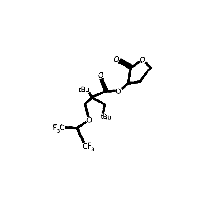 CC(C)(C)CC(COC(C(F)(F)F)C(F)(F)F)(C(=O)OC1CCOC1=O)C(C)(C)C